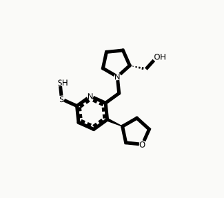 OC[C@H]1CCCN1Cc1nc(SS)ccc1[C@H]1CCOC1